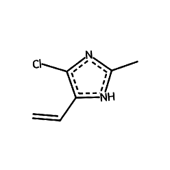 C=Cc1[nH]c(C)nc1Cl